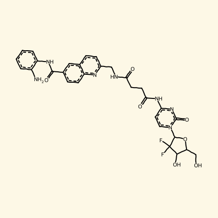 Nc1ccccc1NC(=O)c1ccc2nc(CNC(=O)CCC(=O)Nc3ccn(C4OC(CO)C(O)C4(F)F)c(=O)n3)ccc2c1